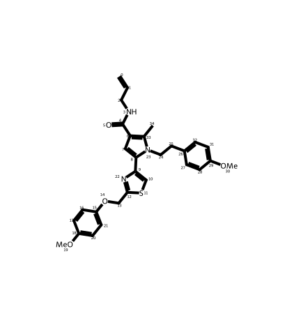 C=CCNC(=O)c1cc(-c2csc(COc3ccc(OC)cc3)n2)n(CCc2ccc(OC)cc2)c1C